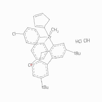 Cl.Cl.[CH2]=[Zr]([C]1=CC=CC1)([c]1ccc(Cl)cc1)([c]1ccc(Cl)cc1)[c]1cc(C(C)(C)C)cc2c1Cc1ccc(C(C)(C)C)cc1-2